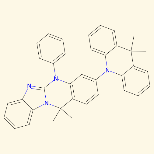 CC1(C)c2ccccc2N(c2ccc3c(c2)N(c2ccccc2)c2nc4ccccc4n2C3(C)C)c2ccccc21